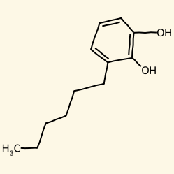 CCCCCCc1cccc(O)c1O